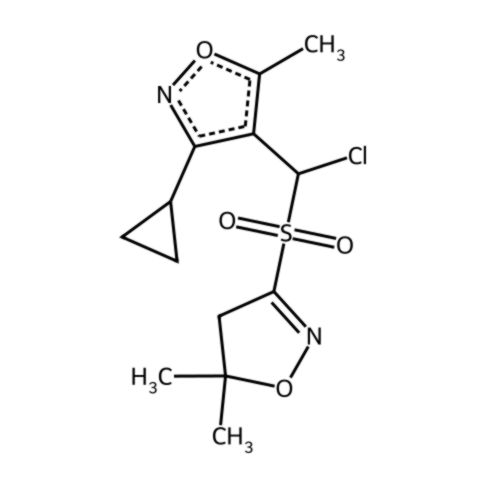 Cc1onc(C2CC2)c1C(Cl)S(=O)(=O)C1=NOC(C)(C)C1